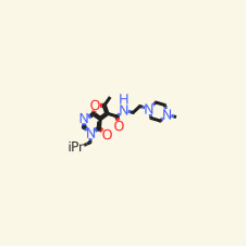 Cc1oc2ncn(CC(C)C)c(=O)c2c1C(=O)NCCN1CCN(C)CC1